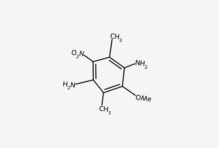 COc1c(C)c(N)c([N+](=O)[O-])c(C)c1N